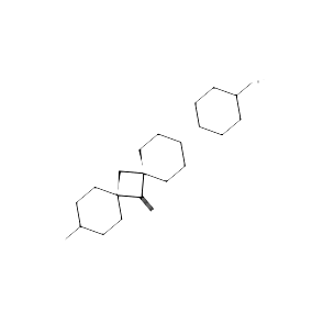 CCCC1CCC([C@H]2CC[C@]3(CC2)C[C@@]2(CCC(CC)CC2)C3=O)CC1